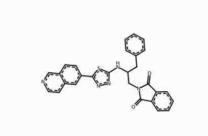 O=C1c2ccccc2C(=O)N1CC(Cc1ccccc1)Nc1nnc(-c2ccc3cnccc3c2)s1